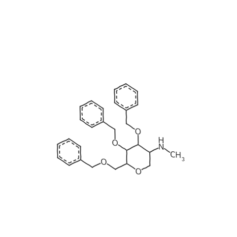 CNC1COC(COCc2ccccc2)C(OCc2ccccc2)C1OCc1ccccc1